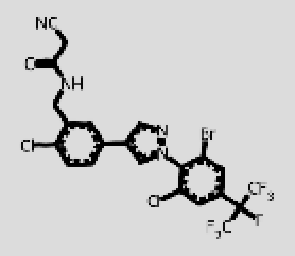 N#CCC(=O)NCc1cc(-c2cnn(-c3c(Cl)cc(C(F)(C(F)(F)F)C(F)(F)F)cc3Br)c2)ccc1Cl